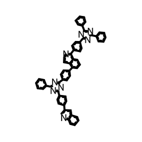 c1ccc(-c2nc(-c3ccc(-c4cnc5ccccc5c4)cc3)nc(-c3ccc(-c4cccc5c(-c6ccc(-c7nc(-c8ccccc8)nc(-c8ccccc8)n7)cc6)nccc45)cc3)n2)cc1